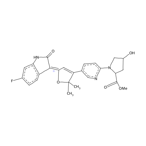 COC(=O)C1CC(O)CN1c1ccc(C2=C/C(=C3\C(=O)Nc4cc(F)ccc43)OC2(C)C)cn1